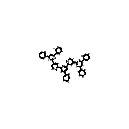 c1ccc(-c2cc(-c3cc(-c4nc(-c5ccccc5)cc(-c5ccccc5)n4)ccn3)nc(-c3cc(-c4nc(-c5ccccc5)cc(-c5ccccc5)n4)ccn3)c2)cc1